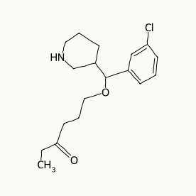 CCC(=O)CCCOC(c1cccc(Cl)c1)C1CCCNC1